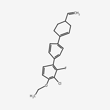 C=CC1CC=C(c2ccc(-c3ccc(OCC)c(Cl)c3F)cc2)CC1